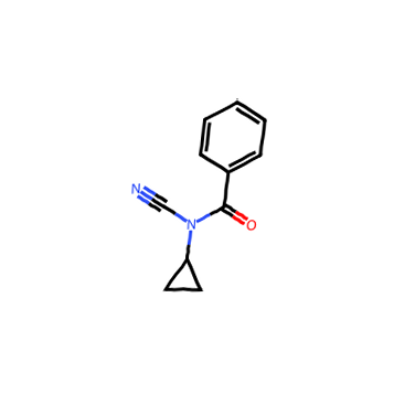 N#CN(C(=O)c1cc[c]cc1)C1CC1